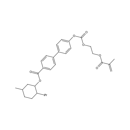 C=C(C)C(=O)OCCOC(=O)Oc1ccc(-c2ccc(C(=O)OC3CC(C)CCC3C(C)C)cc2)cc1